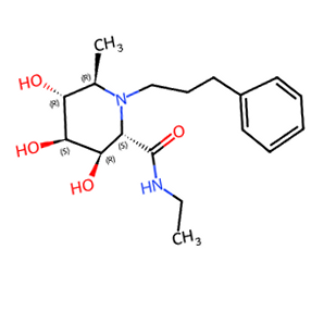 CCNC(=O)[C@@H]1[C@@H](O)[C@@H](O)[C@H](O)[C@@H](C)N1CCCc1ccccc1